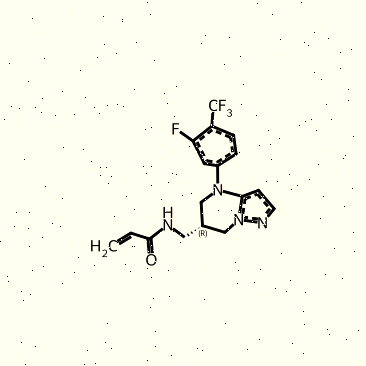 C=CC(=O)NC[C@@H]1CN(c2ccc(C(F)(F)F)c(F)c2)c2ccnn2C1